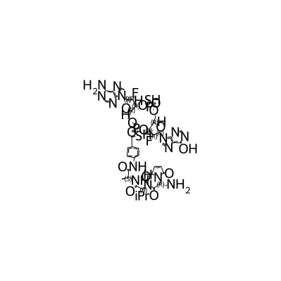 CC(C)[C@H](NC(=O)[C@@H](CN)N1C(=O)C=CC1=O)C(=O)N[C@@H](C)C(=O)Nc1ccc(CSP2(=O)OC[C@H]3O[C@@H](n4cnc5c(N)ncnc54)[C@H](F)[C@@H]3OP(=O)(S)OC[C@H]3O[C@@H](n4cnc5c(O)ncnc54)[C@H](F)[C@@H]3O2)cc1